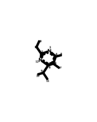 CCc1nc(C)c(C)c(C(C)C)n1